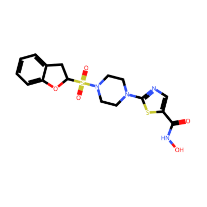 O=C(NO)c1cnc(N2CCN(S(=O)(=O)C3Cc4ccccc4O3)CC2)s1